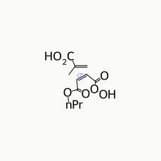 C=C(C)C(=O)O.CCCOC(=O)/C=C\C(=O)OO